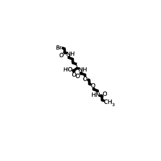 CCC(=O)NCCOCCOCC(=O)N[C@@H](CCCCNC(=O)CBr)C(=O)O